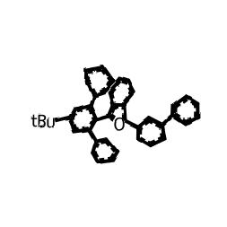 CC(C)(C)c1cc(-c2ccccc2)c(-c2oc(-c3cccc(-c4ccccc4)c3)c3ccccc23)c(-c2ccccc2)c1